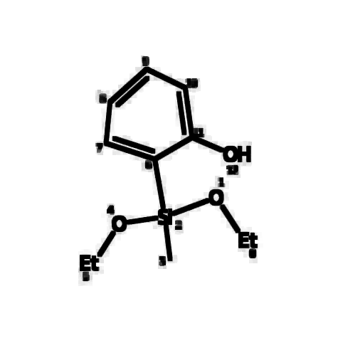 CCO[Si](C)(OCC)c1ccccc1O